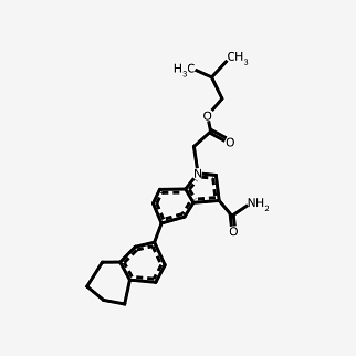 CC(C)COC(=O)Cn1cc(C(N)=O)c2cc(-c3ccc4c(c3)CCCC4)ccc21